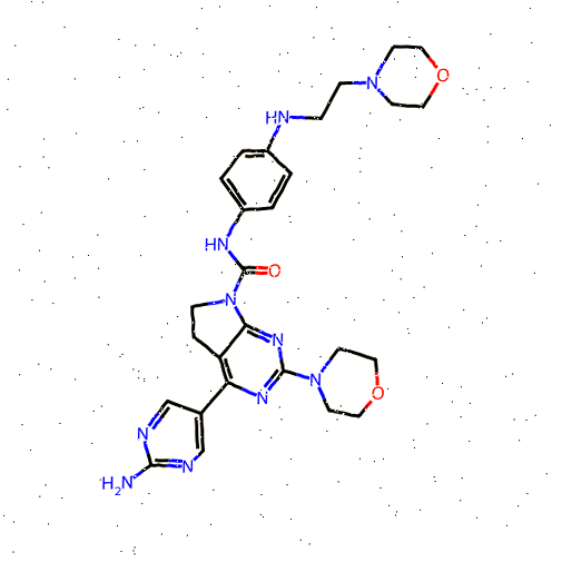 Nc1ncc(-c2nc(N3CCOCC3)nc3c2CCN3C(=O)Nc2ccc(NCCN3CCOCC3)cc2)cn1